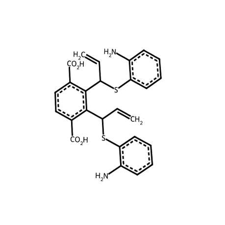 C=CC(Sc1ccccc1N)c1c(C(=O)O)ccc(C(=O)O)c1C(C=C)Sc1ccccc1N